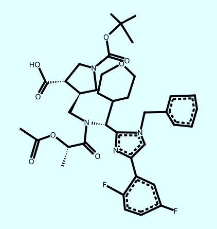 CC(=O)O[C@@H](C)C(=O)N(C[C@@H]1CN(C(=O)OC(C)(C)C)C[C@H]1C(=O)O)[C@@H](c1nc(-c2cc(F)ccc2F)cn1Cc1ccccc1)C1CCOCC1